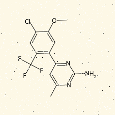 COc1cc(-c2cc(C)nc(N)n2)c(C(F)(F)F)cc1Cl